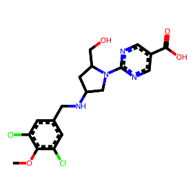 COc1c(Cl)cc(CNC2CC(CO)N(c3ncc(C(=O)O)cn3)C2)cc1Cl